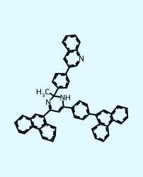 CC1(c2ccc(-c3cnc4ccccc4c3)cc2)N=C(c2cc3ccccc3c3ccccc23)C=C(c2ccc(-c3cc4ccccc4c4ccccc34)cc2)N1